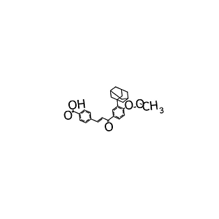 COCOc1ccc(C(=O)C=Cc2ccc(C(=O)O)cc2)cc1C12CC3CC(CC(C3)C1)C2